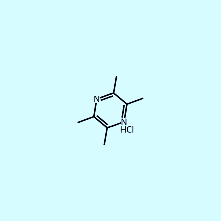 Cc1nc(C)c(C)nc1C.Cl